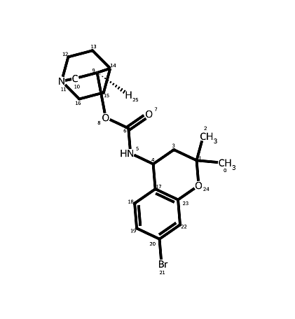 CC1(C)CC(NC(=O)O[C@H]2CN3CCC2CC3)c2ccc(Br)cc2O1